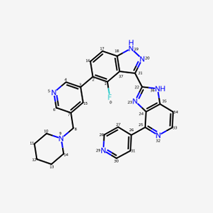 Fc1c(-c2cncc(CN3CCCCC3)c2)ccc2[nH]nc(-c3nc4c(-c5ccncc5)nccc4[nH]3)c12